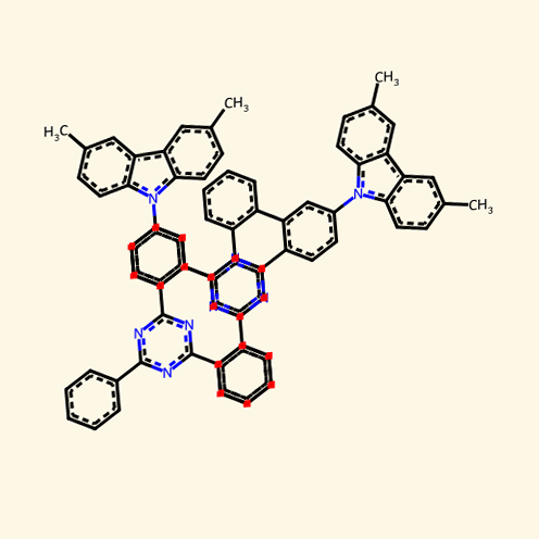 Cc1ccc2c(c1)c1cc(C)ccc1n2-c1ccc(-c2nc(-c3ccccc3)nc(-c3ccccc3)n2)c(-c2ccccc2-c2ccccc2-c2cc(-n3c4ccc(C)cc4c4cc(C)ccc43)ccc2-c2nc(-c3ccccc3)nc(-c3ccccc3)n2)c1